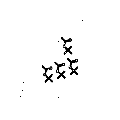 CC(=O)OC(C)(C)C.CC(=O)OC(C)(C)C.CC(=O)OC(C)(C)C.CC(=O)OC(C)(C)C